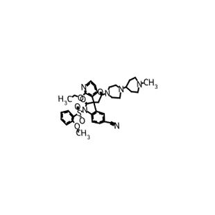 CCOc1ncccc1C1(CC(=O)N2CCN(C3CCN(C)CC3)CC2)C(=O)N(S(=O)(=O)c2ccccc2OC)c2ccc(C#N)cc21